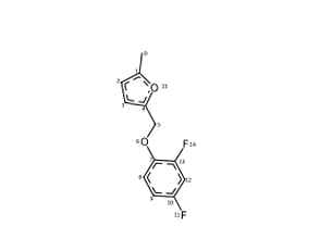 Cc1ccc(COc2ccc(F)cc2F)o1